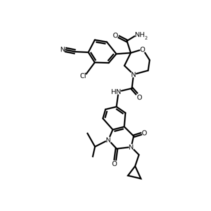 CC(C)n1c(=O)n(CC2CC2)c(=O)c2cc(NC(=O)N3CCOC(C(N)=O)(c4ccc(C#N)c(Cl)c4)C3)ccc21